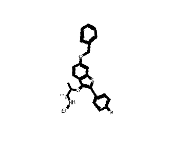 CCN[C@H](C)C(C)Oc1c(-c2ccc(Br)cc2)sc2cc(OCc3ccccc3)ccc12